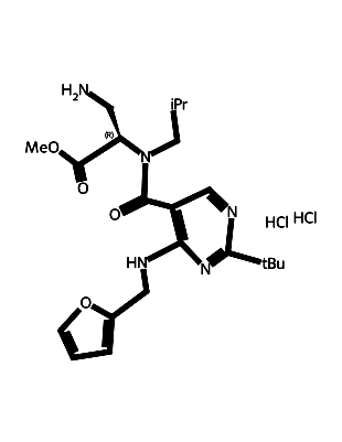 COC(=O)[C@@H](CN)N(CC(C)C)C(=O)c1cnc(C(C)(C)C)nc1NCc1ccco1.Cl.Cl